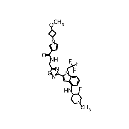 COC1CC(n2ccc(C(=O)NCc3nc(-c4cc5c(N[C@@H]6CCN(C)C[C@@H]6F)cccc5n4CC(F)(F)F)no3)c2)C1